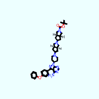 CC(C)(C)OC(=O)N1C[C@H]2CC(N3C[C@H]4CC(N5CCC(n6nc(-c7ccc(Oc8ccccc8)cc7)c7c(N)ncnc76)CC5)C[C@H]4C3)C[C@H]2C1